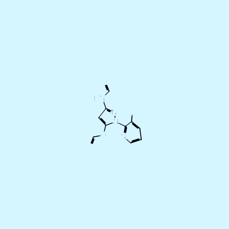 O=CNc1cc(OC=O)n(-c2ncccc2Cl)n1